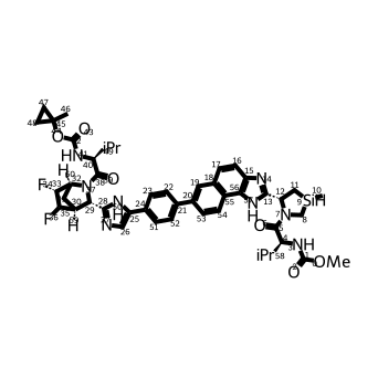 COC(=O)N[C@H](C(=O)N1C[SiH](C)C[C@H]1c1nc2ccc3cc(-c4ccc(-c5cnc([C@@H]6[C@@H]7C[C@@H]([C@@H](F)C7F)N6C(=O)[C@@H](NC(=O)OC6(C)CC6)C(C)C)[nH]5)cc4)ccc3c2[nH]1)C(C)C